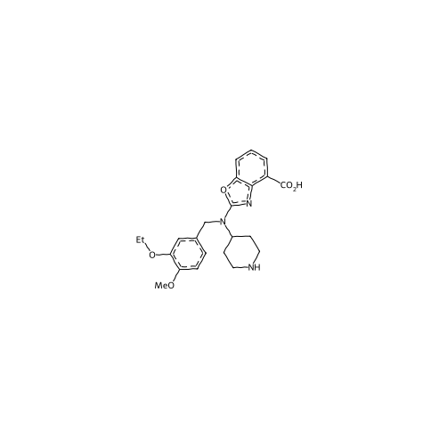 CCOc1cc(CN(c2nc3c(C(=O)O)cccc3o2)C2CCNCC2)ccc1OC